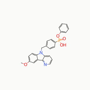 COc1ccc2c(c1)c1ncccc1n2Cc1ccc(P(=O)(O)Oc2ccccc2)cc1